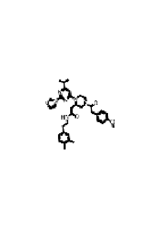 COc1ccc(CC(=O)N2CCN(c3cc(C(C)C)nc(-n4ccnc4)n3)C(CC(=O)NCCc3ccc(C)c(C)c3)C2)cc1